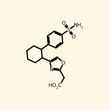 NS(=O)(=O)c1ccc(C2CCCCC2c2coc(CC(=O)O)n2)cc1